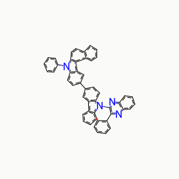 c1ccc(-c2nc3ccccc3nc2-n2c3ccccc3c3cc(-c4ccc5c(c4)c4c6ccccc6ccc4n5-c4ccccc4)ccc32)cc1